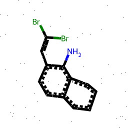 Nc1c(C=C(Br)Br)ccc2ccccc12